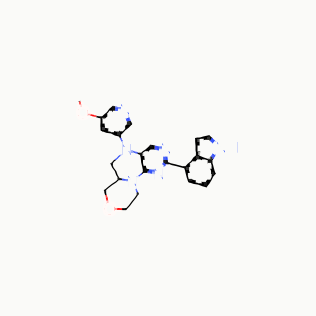 COc1cncc(N2CC3COCCN3c3nc(-c4cccc5[nH]ccc45)ncc32)c1